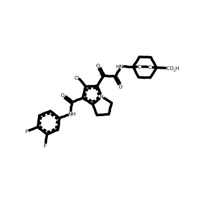 O=C(NC12CCC(C(=O)O)(CC1)CC2)C(=O)c1c(Cl)c(C(=O)Nc2ccc(F)c(F)c2)c2n1CCC2